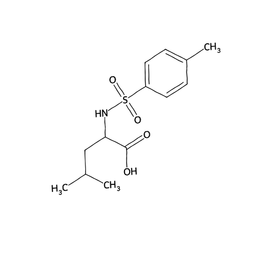 Cc1ccc(S(=O)(=O)NC(CC(C)C)C(=O)O)cc1